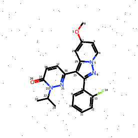 COc1ccn2nc(-c3ccccc3F)c(-c3ccc(=O)n(C(C)C)n3)c2c1